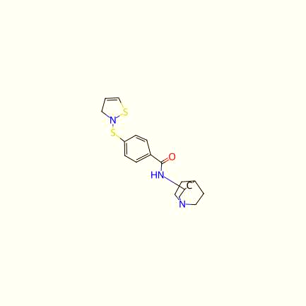 O=C(NC1CC2CCN(CC2)C1)c1ccc(SN2CC=CS2)cc1